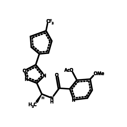 COc1ccnc(C(=O)N[C@@H](C)c2noc(-c3ccc(C(F)(F)F)cc3)n2)c1OC(C)=O